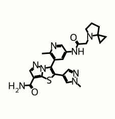 Cc1ncc(NC(=O)CN2CCCC23CC3)cc1-c1c(-c2cnn(C)c2)sc2c(C(N)=O)cnn12